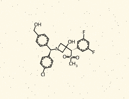 CS(=O)(=O)[C@@H](c1cc(F)cc(F)c1)C1(O)CN([C@@H](c2ccc(Cl)cc2)c2ccc(CO)cc2)C1